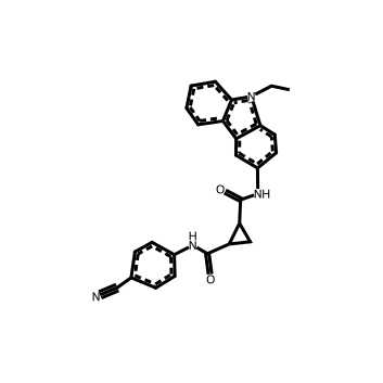 CCn1c2ccccc2c2cc(NC(=O)C3CC3C(=O)Nc3ccc(C#N)cc3)ccc21